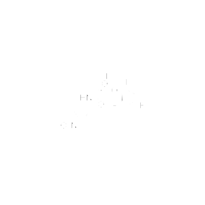 Cc1cc(NC(=O)[C@@](C)(O)COc2c(F)cc(F)cc2F)ccc1[N+](=O)[O-]